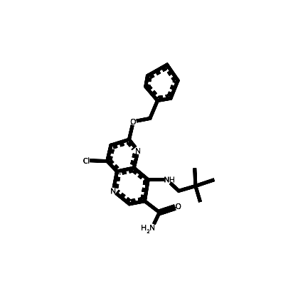 CC(C)(C)CNc1c(C(N)=O)cnc2c(Cl)cc(OCc3ccccc3)nc12